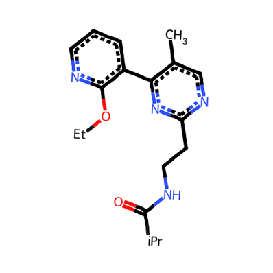 CCOc1ncccc1-c1nc(CCNC(=O)C(C)C)ncc1C